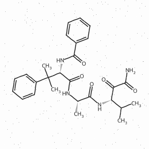 CC(C)[C@H](NC(=O)[C@H](C)NC(=O)[C@@H](NC(=O)c1ccccc1)C(C)(C)c1ccccc1)C(=O)C(N)=O